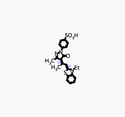 CCN1/C(=C/C(C)=C2\C(=O)N(c3ccc(S(=O)(=O)O)cc3)N=C2C)Sc2ccccc21